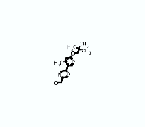 Cc1cc(OCC(C)(C)C)ncc1-c1cnc(C=O)cn1